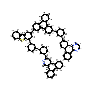 C1=CC2c3ccccc3-c3nccnc3C2C=C1c1cccc(-c2ccc3c(c2)c2ccccc2c2ccc(-c4cc(-c5cccc(-c6cccc(-c7cc8c9ccccc9c9ccccc9c8cn7)c6)c5)c5sc6ccccc6c5c4)cc23)c1